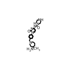 CC1(N)CCCN(Cc2ccc(-n3ccc(NC(=O)N4CCNCC4)nc3=O)cc2)CC1